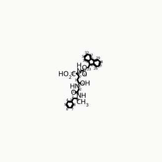 CC(Cc1ccccc1)NC(=O)CNC(O)CCC(NC(=O)OCC1c2ccccc2-c2ccccc21)C(=O)O